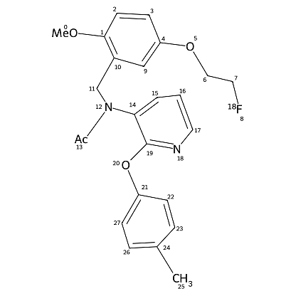 COc1ccc(OCC[18F])cc1CN(C(C)=O)c1cccnc1Oc1ccc(C)cc1